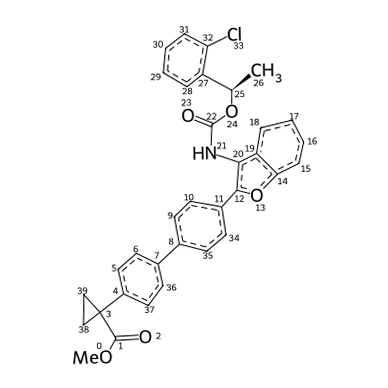 COC(=O)C1(c2ccc(-c3ccc(-c4oc5ccccc5c4NC(=O)O[C@H](C)c4ccccc4Cl)cc3)cc2)CC1